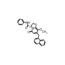 COc1c(Cc2cccc3ccccc23)cc(=O)n2c1SC[C@H]2C(=O)Nc1ccccc1